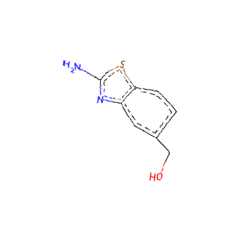 Nc1nc2cc(CO)ccc2s1